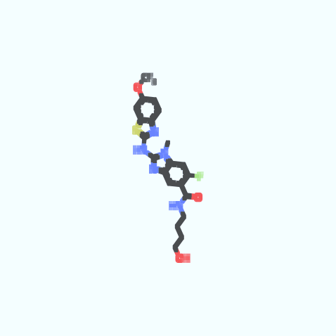 Cn1c(Nc2nc3ccc(OC(F)(F)F)cc3s2)nc2cc(C(=O)NCCCCO)c(F)cc21